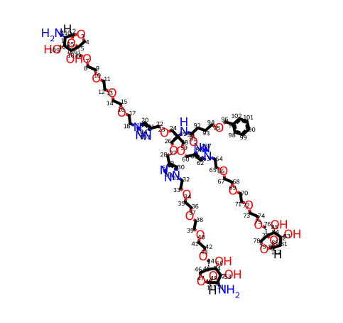 N[C@H]1[C@H]2OC[C@](COCCOCCOCCOCCn3cc(COCC(COCc4cn(CCOCCOCCOCCOC[C@@]56CO[C@@H](O5)[C@H](N)[C@@H](O)[C@H]6O)nn4)(COCc4cn(CCOCCOCCOCCOC[C@]56CO[C@H](C[C@@H](O)[C@H]5O)O6)nn4)NC(=O)CCCOCc4ccccc4)nn3)(O2)[C@H](O)[C@@H]1O